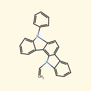 C=Cn1c2ccccc2c2ccc3c(c4ccccc4n3-c3ccccc3)c21